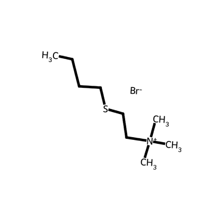 CCCCSCC[N+](C)(C)C.[Br-]